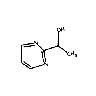 CC(O)c1ncccn1